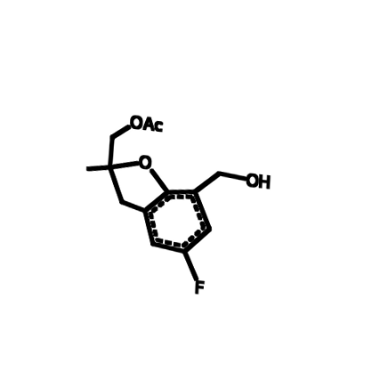 CC(=O)OCC1(C)Cc2cc(F)cc(CO)c2O1